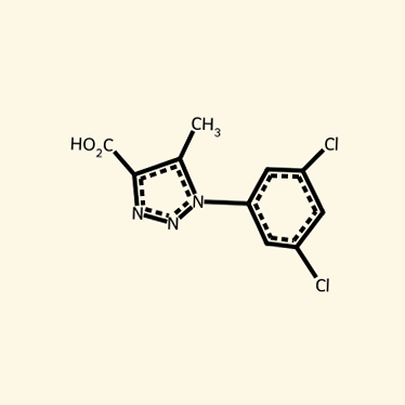 Cc1c(C(=O)O)nnn1-c1cc(Cl)cc(Cl)c1